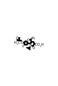 CC(C)C1Oc2cc(OCC3(C)COC3)c(F)cc2-c2c1cc(C(=O)O)c(=O)n2C1CC1